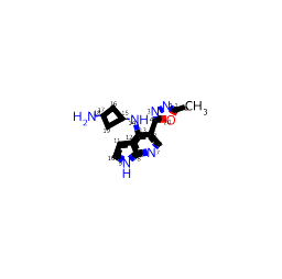 Cc1nnc(-c2cnc3[nH]ccc3c2N[C@H]2C[C@@H](N)C2)o1